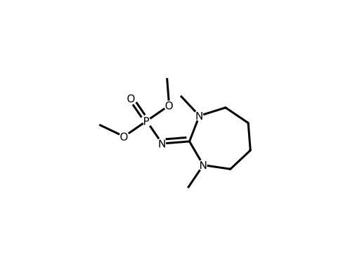 COP(=O)(N=C1N(C)CCCCN1C)OC